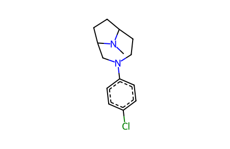 CN1C2CCC1CN(c1ccc(Cl)cc1)CC2